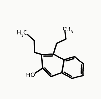 CCCc1c(O)cc2ccccc2c1CCC